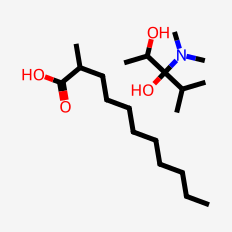 CC(C)C(O)(C(C)O)N(C)C.CCCCCCCCCC(C)C(=O)O